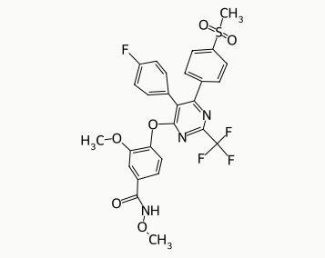 CONC(=O)c1ccc(Oc2nc(C(F)(F)F)nc(-c3ccc(S(C)(=O)=O)cc3)c2-c2ccc(F)cc2)c(OC)c1